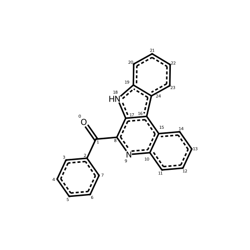 O=C(c1ccccc1)c1nc2ccccc2c2c1[nH]c1ccccc12